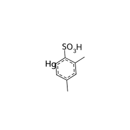 Cc1ccc(S(=O)(=O)O)c(C)c1.[Hg]